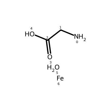 NCC(=O)O.O.[Fe]